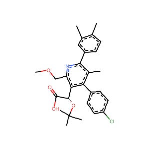 COCc1nc(-c2ccc(C)c(C)c2)c(C)c(-c2ccc(Cl)cc2)c1[C@H](OC(C)(C)C)C(=O)O